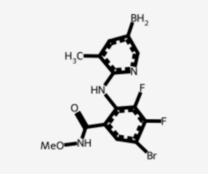 Bc1cnc(Nc2c(C(=O)NOC)cc(Br)c(F)c2F)c(C)c1